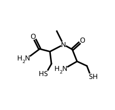 CN(C(=O)C(N)CS)C(CS)C(N)=O